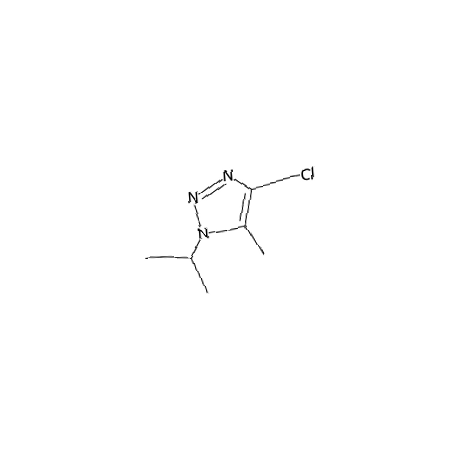 Cc1c(Cl)nnn1C(C)C